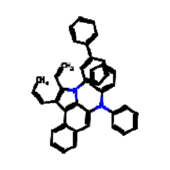 C=Cc1c(/C=C\C)c2c3ccccc3cc(N(c3ccccc3)c3ccccc3)c2n1-c1cccc(-c2ccccc2)c1